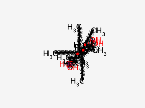 CCCCCCCCCCCCCCC(c1ccc(-c2cc(C)cc(OP(O)O)c2C(C)(C)C)cc1)(c1ccc(-c2cc(C)cc(OP(O)O)c2C(C)(C)C)cc1)C(CCCCCCCCCCCCC)(CCCCCCCCCCCCC)CCCCCCCCCCCCC